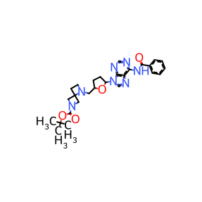 CC(C)(C)OC(=O)N1CC2(CCN2CC2CCC(n3cnc4c(NC(=O)c5ccccc5)ncnc43)O2)C1